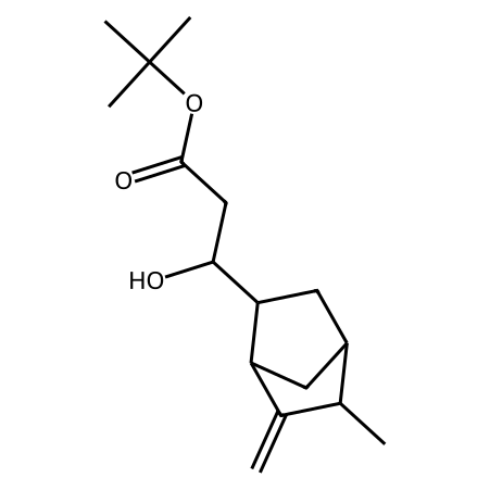 C=C1C(C)C2CC1C(C(O)CC(=O)OC(C)(C)C)C2